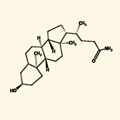 C[C@H](CCC(N)=O)[C@H]1CC[C@H]2[C@@H]3CCC4C[C@H](O)CC[C@]4(C)[C@H]3CC[C@]12C